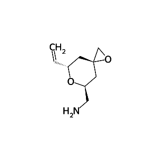 C=C[C@@H]1C[C@]2(CO2)C[C@@H](CN)O1